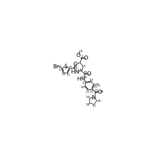 COC(=O)CCC(NC(=O)c1ccc(Br)s1)C(=O)Nc1ccc(C(=O)N2CCCC2)c(C)c1